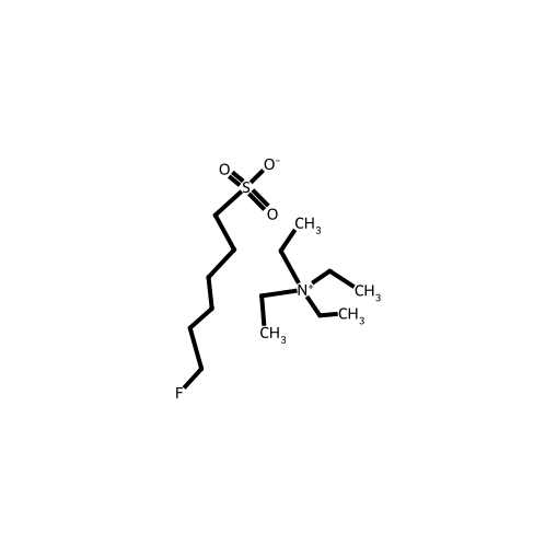 CC[N+](CC)(CC)CC.O=S(=O)([O-])CCCCCCF